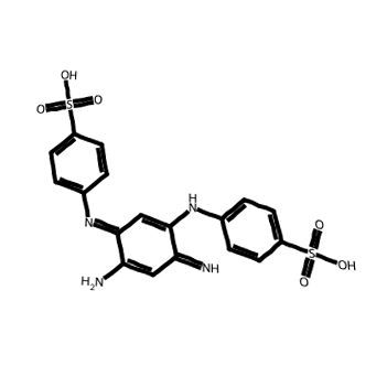 N=C1C=C(N)C(=Nc2ccc(S(=O)(=O)O)cc2)C=C1Nc1ccc(S(=O)(=O)O)cc1